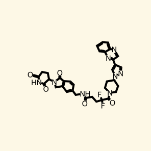 O=C(CCC(F)(F)C(=O)N1CCC(n2cc(-c3cnc4ccccc4n3)cn2)CC1)NCc1ccc2c(c1)CN(C1CCC(=O)NC1=O)C2=O